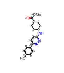 COC(=O)[C@H]1CC[C@H](Nc2ccc(-c3ccc(C#N)cc3)nn2)CC1